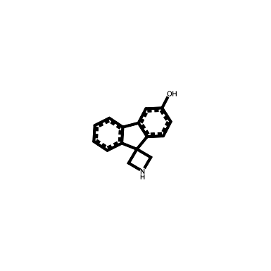 Oc1ccc2c(c1)-c1ccccc1C21CNC1